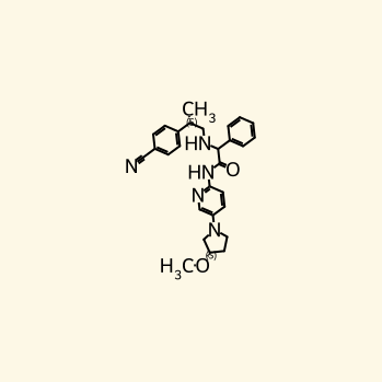 CO[C@H]1CCN(c2ccc(NC(=O)C(NC[C@@H](C)c3ccc(C#N)cc3)c3ccccc3)nc2)C1